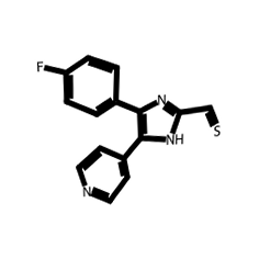 Fc1ccc(-c2nc(C=S)[nH]c2-c2ccncc2)cc1